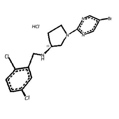 Cl.Clc1ccc(Cl)c(CN[C@H]2CCN(c3ncc(Br)cn3)C2)c1